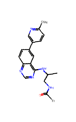 CCC(=O)NCC(C)Nc1ncnc2ccc(-c3ccc(OC)nc3)cc12